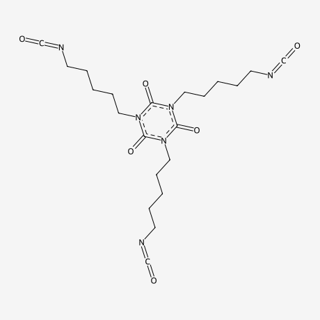 O=C=NCCCCCn1c(=O)n(CCCCCN=C=O)c(=O)n(CCCCCN=C=O)c1=O